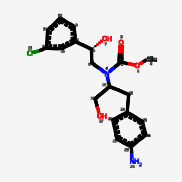 CC(C)(C)OC(=O)N(C[C@@H](O)c1cccc(Cl)c1)C(CO)Cc1ccc(N)cc1